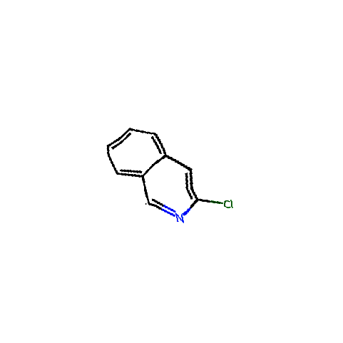 Clc1cc2ccccc2[c]n1